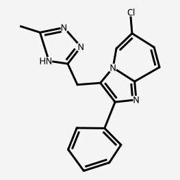 Cc1nnc(Cc2c(-c3ccccc3)nc3ccc(Cl)cn23)[nH]1